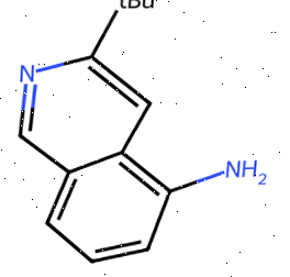 CC(C)(C)c1cc2c(N)cccc2cn1